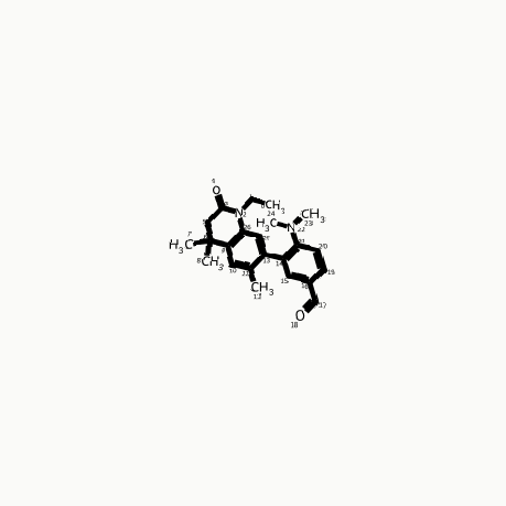 CCN1C(=O)CC(C)(C)c2cc(C)c(-c3cc(C=O)ccc3N(C)C)cc21